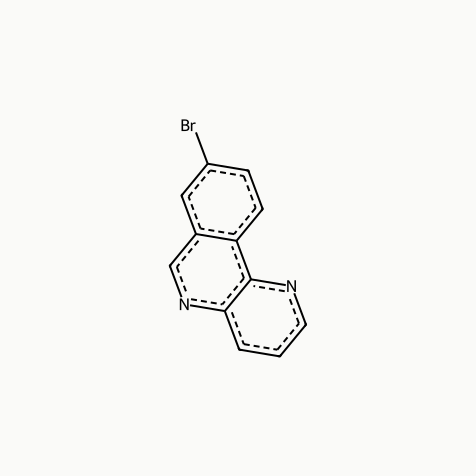 Brc1ccc2c(cnc3cccnc32)c1